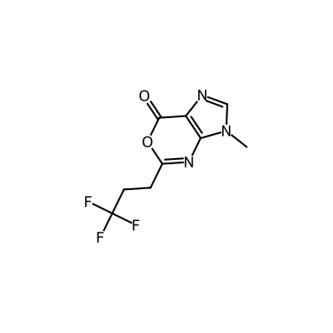 Cn1cnc2c(=O)oc(CCC(F)(F)F)nc21